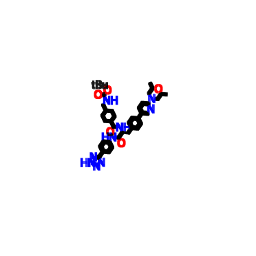 CC1CN(c2ccc(-c3ccc(C[C@H](NC(=O)C4CCC(CNC(=O)OC(C)(C)C)CC4)C(=O)Nc4ccc(-c5nn[nH]n5)cc4)cc3)cn2)CC(C)O1